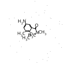 COc1c(C)cc(N)cc1C(=O)N(C)C